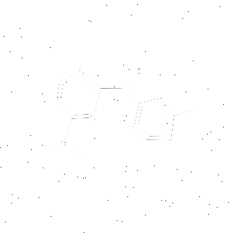 CN(C)c1ccnc(Oc2cccc(Cl)c2)n1